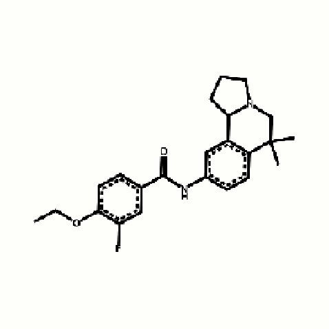 CCOc1ccc(C(=O)Nc2ccc3c(c2)C2CCCN2CC3(C)C)cc1F